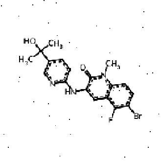 Cn1c(=O)c(Nc2ccc(C(C)(C)O)cn2)cc2c(F)c(Br)ccc21